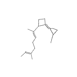 CC=C(C)CCC=C(C)C1CCC1=C1CC1C